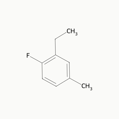 CCc1cc(C)ccc1F